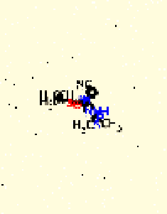 Cc1cc(Nc2cc3c(cn2)c(OCOCC[Si](C)(C)C)nn3-c2cccc(C#N)c2)nc(C)n1